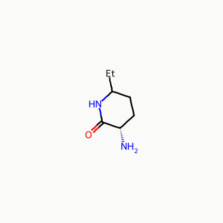 CCC1CC[C@H](N)C(=O)N1